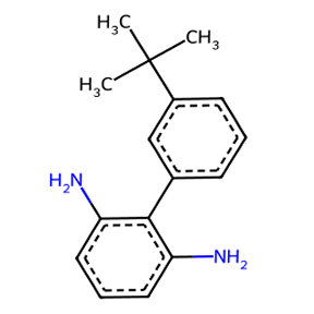 CC(C)(C)c1cccc(-c2c(N)cccc2N)c1